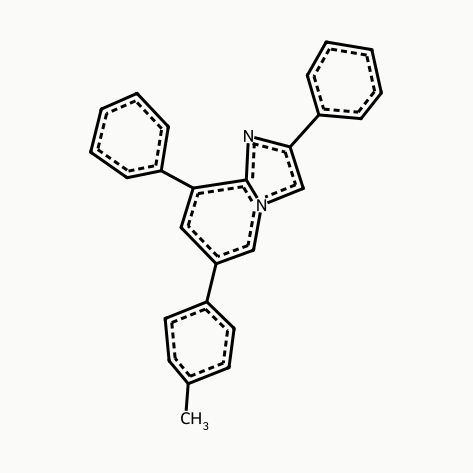 Cc1ccc(-c2cc(-c3ccccc3)c3nc(-c4ccccc4)cn3c2)cc1